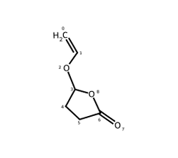 C=COC1CCC(=O)O1